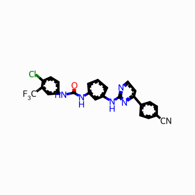 N#Cc1ccc(-c2ccnc(Nc3cccc(NC(=O)Nc4ccc(Cl)c(C(F)(F)F)c4)c3)n2)cc1